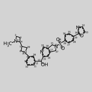 CN1CCC1C1CN(c2cccc(C(O)c3cc4c(cn3)CN(S(=O)(=O)c3ccc(-c5ncco5)cc3)C4)c2)C1